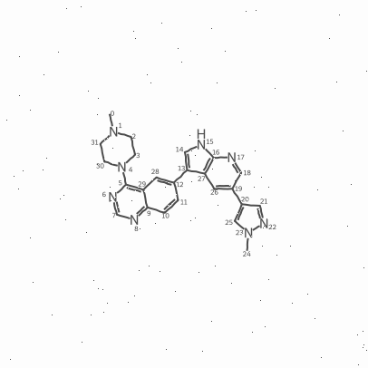 CN1CCN(c2ncnc3ccc(-c4c[nH]c5ncc(-c6cnn(C)c6)cc45)cc23)CC1